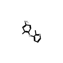 Cc1cc(N)ccc1Oc1cccnc1C